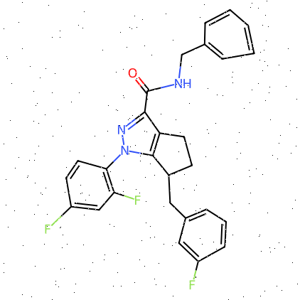 O=C(NCc1ccccc1)c1nn(-c2ccc(F)cc2F)c2c1CCC2Cc1cccc(F)c1